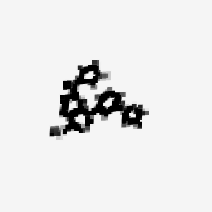 NC(=O)c1cnc(NC2CCNC2)nc1Nc1cccc(-n2nccn2)c1